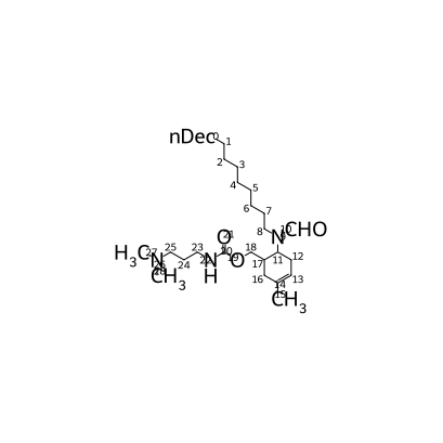 CCCCCCCCCCCCCCCCCCN(C=O)C1CC=C(C)CC1COC(=O)NCCCN(C)C